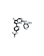 O[C@@H]1COCC[C@H]1Nc1ncc2c(F)cc(-c3ccc(OC(F)F)cn3)n2n1